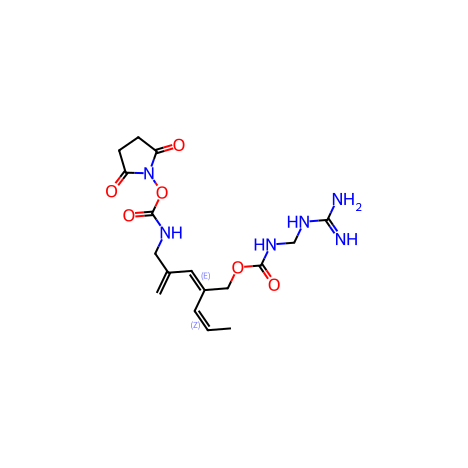 C=C(/C=C(\C=C/C)COC(=O)NCNC(=N)N)CNC(=O)ON1C(=O)CCC1=O